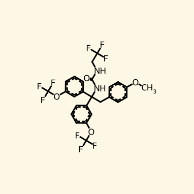 COc1ccc(CC(NC(=O)NCC(F)(F)F)(c2cccc(OC(F)(F)F)c2)c2cccc(OC(F)(F)F)c2)cc1